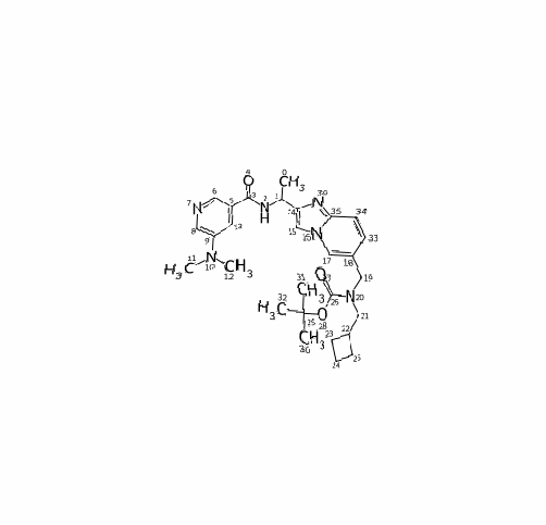 CC(NC(=O)c1cncc(N(C)C)c1)c1cn2cc(CN(CC3CCC3)C(=O)OC(C)(C)C)ccc2n1